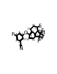 N#Cc1cc(F)cc(Oc2ccc3c4c2CCC(F)C4(O)C(F)(F)C3(F)F)c1